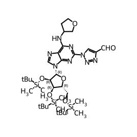 CC(C)(C)[Si](C)(C)OC[C@H]1O[C@@H](n2cnc3c(NC4CCOC4)nc(-n4cc(C=O)nn4)nc32)[C@H](O[Si](C)(C)C(C)(C)C)[C@@H]1O[Si](C)(C)C(C)(C)C